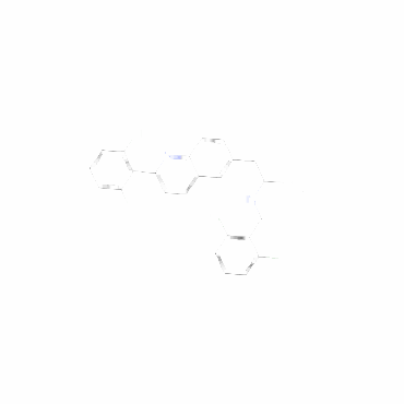 O=C(O)C(Cc1ccc2nc(-c3c(Cl)cccc3Cl)ccc2c1)NCc1c(Cl)cccc1Cl